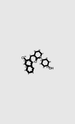 O=C1C(Cc2cc3ccccc3cc2Cl)CCCN1[C@H]1CC[C@H](O)CC1